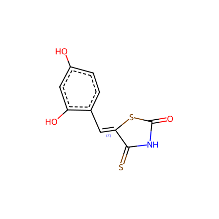 O=C1NC(=S)/C(=C/c2ccc(O)cc2O)S1